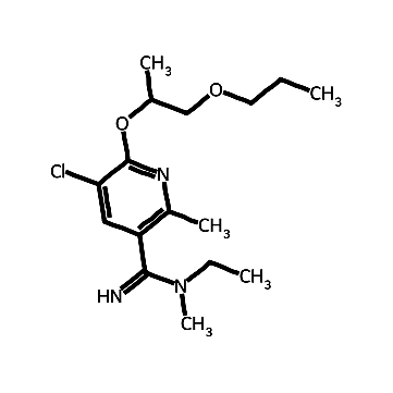 CCCOCC(C)Oc1nc(C)c(C(=N)N(C)CC)cc1Cl